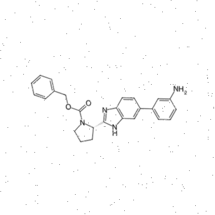 Nc1cccc(-c2ccc3nc([C@@H]4CCCN4C(=O)OCc4ccccc4)[nH]c3c2)c1